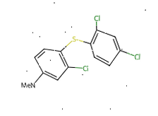 CNc1ccc(Sc2ccc(Cl)cc2Cl)c(Cl)c1